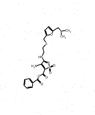 CN(C)Cc1ccc(CSCCNC2=NS(=O)(=O)C(C(=O)OC(=O)c3ccccc3)=C2N)o1